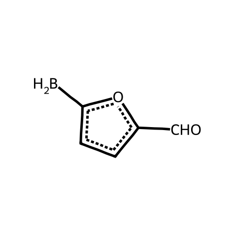 Bc1ccc(C=O)o1